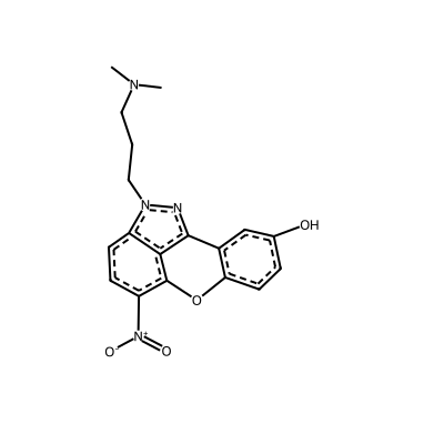 CN(C)CCCn1nc2c3c(c([N+](=O)[O-])ccc31)Oc1ccc(O)cc1-2